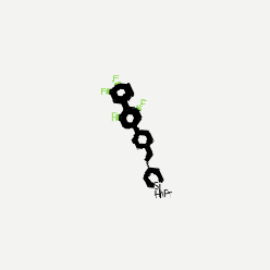 CCC[Si@H]1CC[C@H](CCC2CCC(c3cc(F)c(-c4ccc(F)c(F)c4)c(F)c3)CC2)CC1